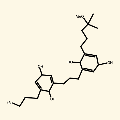 COC(C)(C)CCCC1=CC(O)C=C(CCCC2=CC(O)C=C(CCCC(C)(C)C)C2O)C1O